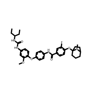 CCC(CC)NC(=O)Nc1ccc(Oc2ccc(NC(=O)c3ccc(OC45CCCC(CC4)N5C)c(F)c3)cc2)c(OC)c1